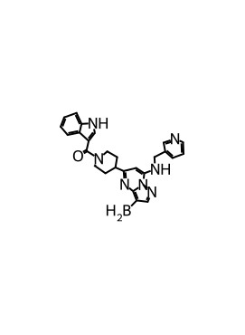 Bc1cnn2c(NCc3cccnc3)cc(C3CCN(C(=O)c4c[nH]c5ccccc45)CC3)nc12